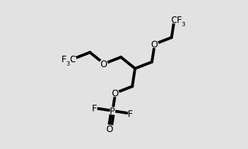 O=P(F)(F)OCC(COCC(F)(F)F)COCC(F)(F)F